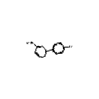 CNC1=CN(c2ccc(Br)cc2)CC=C1